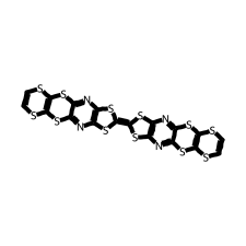 c1csc2sc3nc4c(nc3sc=2s1)SC(=C1Sc2nc3sc5sccsc=5sc3nc2S1)S4